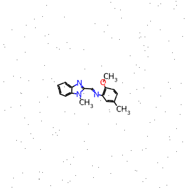 COc1ccc(C)cc1N=Cc1nc2ccccc2n1C